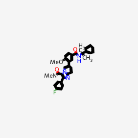 CNC(=O)c1c(-c2ccc(F)cc2)nc2ccc(-c3cc(C(=O)NC(C)(C)c4ccccc4)ccc3OC)cn12